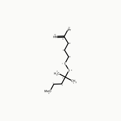 COCCC(C)(C)SSCCCC(=N)C(C)C